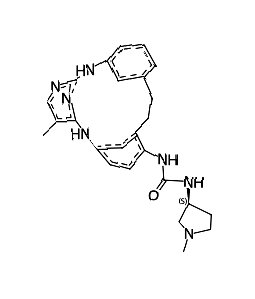 Cc1cnc2nc1Nc1ccc(NC(=O)N[C@H]3CCN(C)C3)c(c1)CCc1cccc(c1)N2